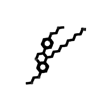 COCOc1ccc(C2COc3cc(OCOC)ccc3C2CCCCCCCCCO)cc1